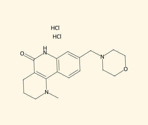 CN1CCCc2c1c1ccc(CN3CCOCC3)cc1[nH]c2=O.Cl.Cl